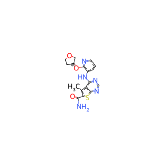 Cc1c(C(N)=O)sc2ncnc(Nc3cccnc3O[C@@H]3CCOC3)c12